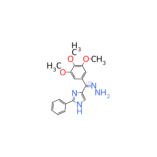 COc1cc(/C(=N/N)c2c[nH]c(-c3ccccc3)n2)cc(OC)c1OC